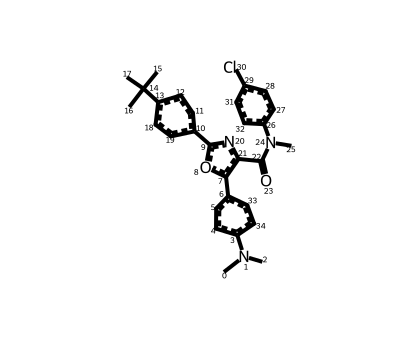 CN(C)c1ccc(-c2oc(-c3ccc(C(C)(C)C)cc3)nc2C(=O)N(C)c2ccc(Cl)cc2)cc1